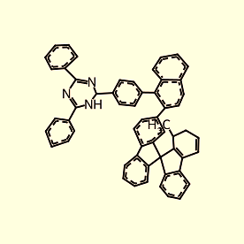 CC1CC=CC2=C1C1(c3ccccc32)c2ccccc2-c2ccc(-c3ccc4ccccc4c3-c3ccc(C4N=C(c5ccccc5)N=C(c5ccccc5)N4)cc3)cc21